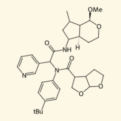 CO[C@H]1OCC[C@H]2C(NC(=O)C(c3cccnc3)N(C(=O)C3COC4OCCC43)c3ccc(C(C)(C)C)cc3)CC(C)C12